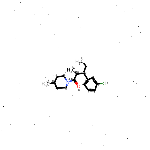 CCC(c1cccc(Cl)c1)C(C)C(=O)N1CCC(C)CC1